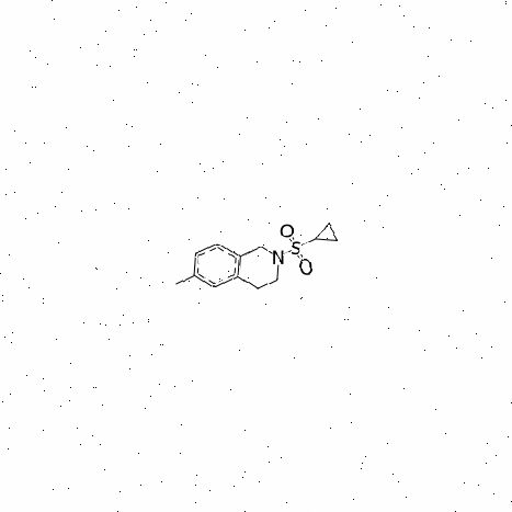 Cc1ccc2c(c1)CCN(S(=O)(=O)C1CC1)C2